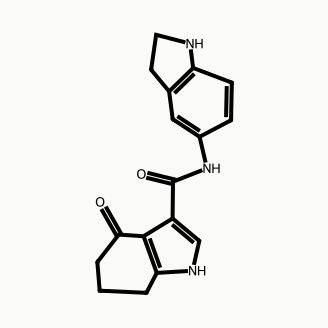 O=C(Nc1ccc2c(c1)CCN2)c1c[nH]c2c1C(=O)CCC2